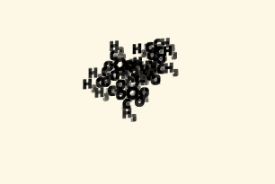 COCOc1c(OC)c(C)cc2c1[C@@H]1C3Cc4c(OC(C)=O)c(C)c5c(c4[C@H](CNC(=O)C(C)NC(=O)OC(C)(C)C)N3[C@@H](C#N)[C@H](C2)N1C)OCO5